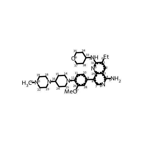 CCc1cc2c(N)ncc(-c3ccc(N4CCC(N5CCN(C)CC5)CC4)c(OC)c3)c2nc1NC1CCOCC1